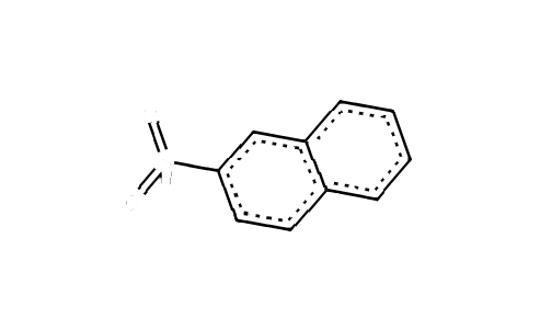 O=[SH](=O)c1[c]cc2ccccc2c1